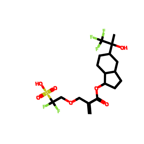 C=C(COCC(F)(F)S(=O)(=O)O)C(=O)OC1CCC2CC(C(C)(O)C(F)(F)F)CCC21